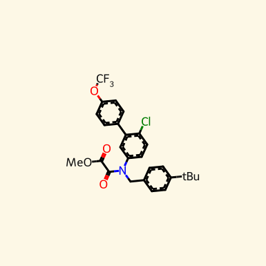 COC(=O)C(=O)N(Cc1ccc(C(C)(C)C)cc1)c1ccc(Cl)c(-c2ccc(OC(F)(F)F)cc2)c1